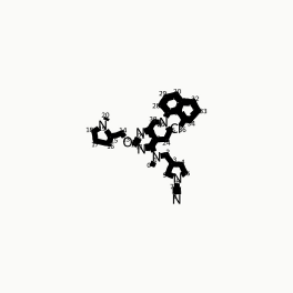 CN(CC1CCN(C#N)C1)c1nc(OCC2CCCN2C)nc2c1CCN(c1cccc3cccc(Cl)c13)C2